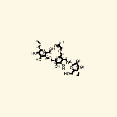 CC[C@@H]1C(CO)O[C@H](COC[C@@H]2C(COCC(=O)O)O[C@H](COC[C@@H]3C(CO)O[C@H](COC)C(O)[C@@H]3O)C(O)[C@@H]2O)C(O)[C@@H]1O